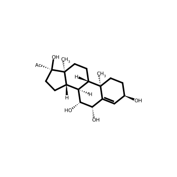 CC(=O)[C@@]1(O)CC[C@H]2[C@@H]3[C@@H](O)[C@@H](O)C4=C[C@H](O)CC[C@]4(C)[C@H]3CC[C@@]21C